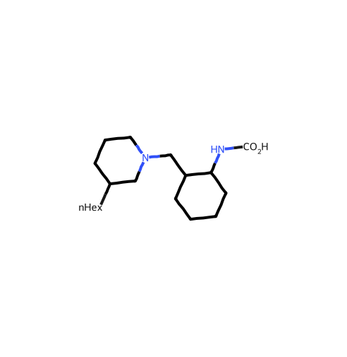 CCCCCCC1CCCN(CC2CCCCC2NC(=O)O)C1